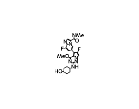 CNC(=O)c1cnc2c(F)cc(-c3c(F)cn4nc(N[C@H]5CC[C@](C)(O)CC5)nc(OC)c34)cn12